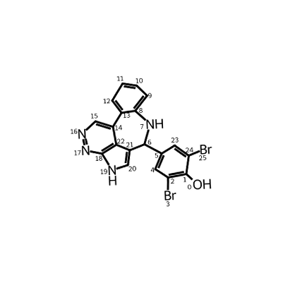 Oc1c(Br)cc(C2Nc3ccccc3-c3cnnc4[nH]cc2c34)cc1Br